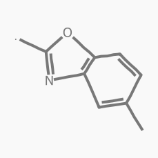 [CH2]c1nc2cc(C)ccc2o1